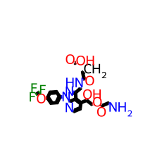 C=CC(=O)NCc1nn(-c2ccc(OC(F)(F)F)cc2)c2nccc(C(O)COC(=O)CN)c12.O=CO